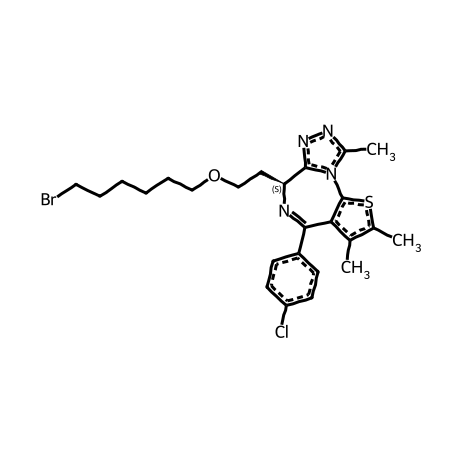 Cc1sc2c(c1C)C(c1ccc(Cl)cc1)=N[C@@H](CCOCCCCCCBr)c1nnc(C)n1-2